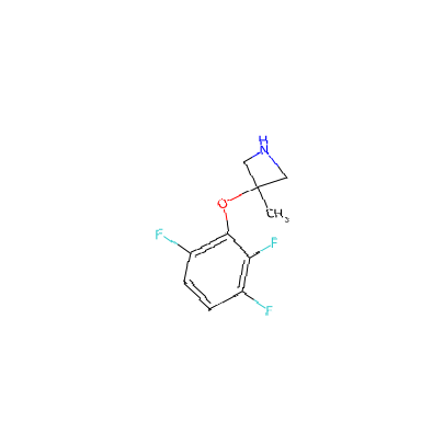 CC1(Oc2c(F)ccc(F)c2F)CNC1